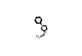 NC[C@@H]1CCN(c2ccccc2)C1